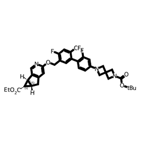 CCOC(=O)[C@H]1[C@H]2Cc3cc(OCc4cc(-c5ccc(N6CC7(CN(C(=O)OC(C)(C)C)C7)C6)cc5F)c(C(F)(F)F)cc4F)ncc3[C@@H]21